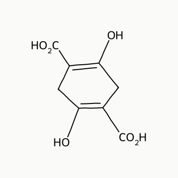 O=C(O)C1=C(O)CC(C(=O)O)=C(O)C1